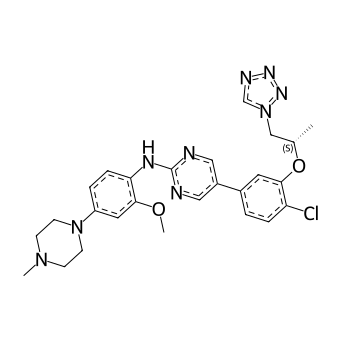 COc1cc(N2CCN(C)CC2)ccc1Nc1ncc(-c2ccc(Cl)c(O[C@@H](C)Cn3cnnn3)c2)cn1